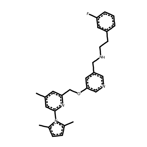 Cc1cc(COc2cncc(CNCCc3cccc(F)c3)c2)nc(-n2c(C)ccc2C)c1